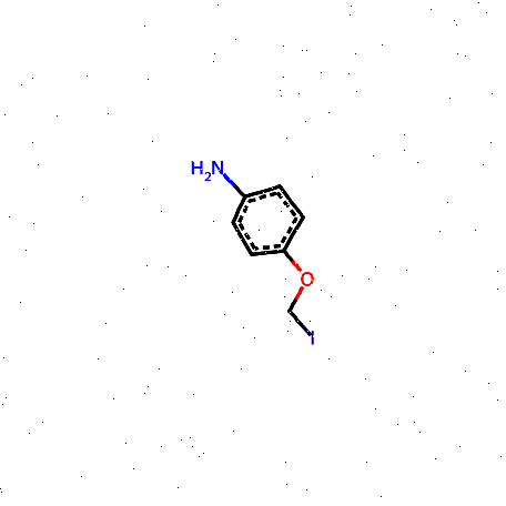 Nc1ccc(OCI)cc1